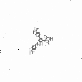 CC(C)C[C@@H](C(=O)O)c1cc(NCc2ccc(C(F)(F)F)cc2)cc(-c2ccc(C(F)(F)F)cc2)c1